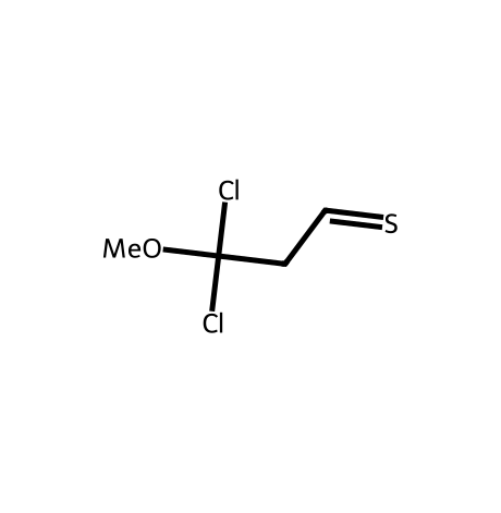 COC(Cl)(Cl)CC=S